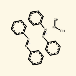 OBO.c1ccc(/N=N/c2ccccc2)cc1.c1ccc(/N=N/c2ccccc2)cc1